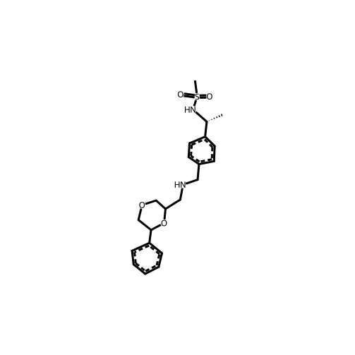 C[C@@H](NS(C)(=O)=O)c1ccc(CNCC2COCC(c3ccccc3)O2)cc1